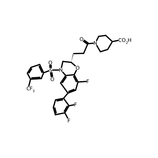 O=C(O)C1CCN(C(=O)CC[C@H]2CN(S(=O)(=O)c3cccc(C(F)(F)F)c3)c3cc(-c4cccc(F)c4F)cc(F)c3O2)CC1